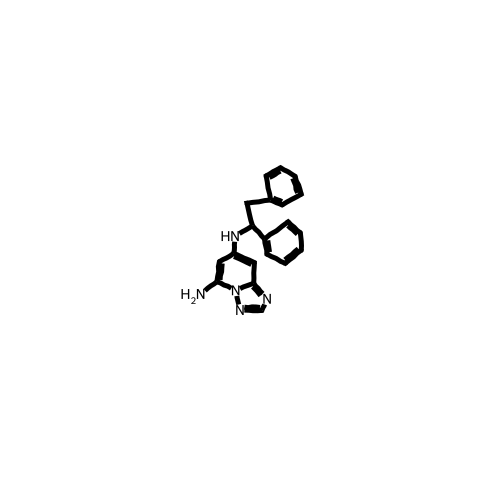 Nc1cc(NC(Cc2ccccc2)c2ccccc2)cc2ncnn12